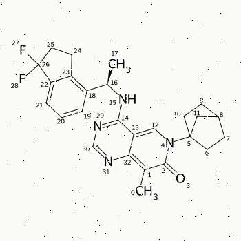 Cc1c(=O)n(C23CCC(CC2)C3)cc2c(N[C@H](C)c3cccc4c3CCC4(F)F)ncnc12